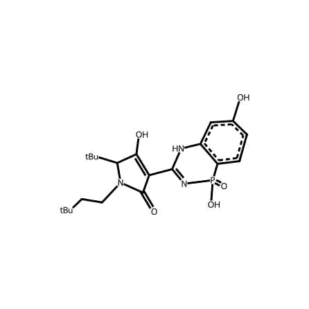 CC(C)(C)CCN1C(=O)C(C2=NP(=O)(O)c3ccc(O)cc3N2)=C(O)C1C(C)(C)C